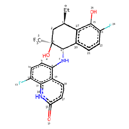 CC[C@@H]1C[C@@](O)(C(F)(F)F)[C@@H](Nc2ccc(F)c3[nH]c(=O)ccc23)c2ccc(F)c(O)c21